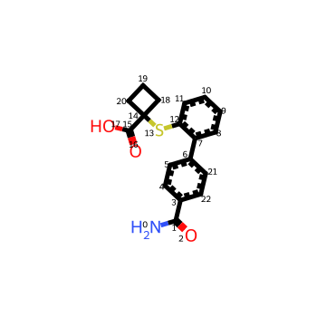 NC(=O)c1ccc(-c2ccccc2SC2(C(=O)O)CCC2)cc1